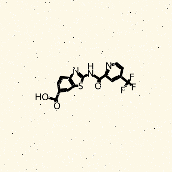 O=C(O)c1ccc2nc(NC(=O)c3cc(C(F)(F)F)ccn3)sc2c1